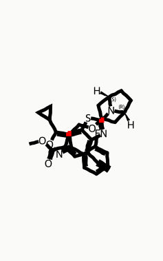 C#Cc1cc(C(=O)OC)cc2sc(N3[C@@H]4CC[C@H]3CC(OCc3c(-c5ccccc5F)noc3C3CC3)C4)nc12